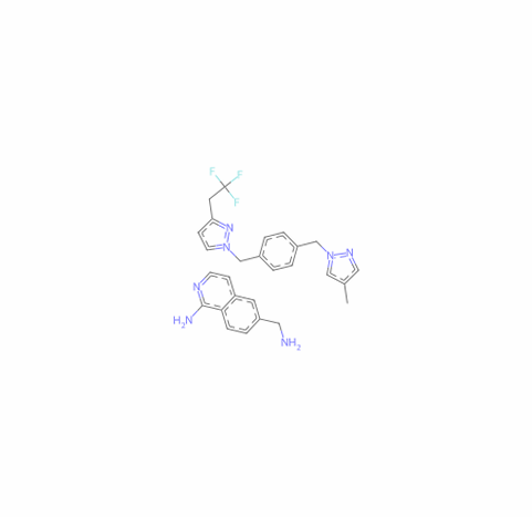 Cc1cnn(Cc2ccc(Cn3ccc(CC(F)(F)F)n3)cc2)c1.NCc1ccc2c(N)nccc2c1